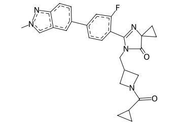 Cn1cc2cc(-c3ccc(C4=NC5(CC5)C(=O)N4CC4CN(C(=O)C5CC5)C4)c(F)c3)ccc2n1